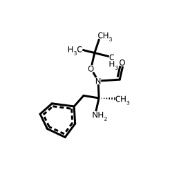 CC(C)(C)ON(C=O)[C@@](C)(N)Cc1ccccc1